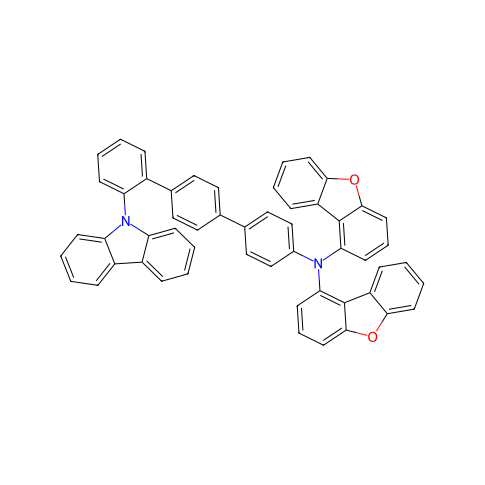 c1ccc(-n2c3ccccc3c3ccccc32)c(-c2ccc(-c3ccc(N(c4cccc5oc6ccccc6c45)c4cccc5oc6ccccc6c45)cc3)cc2)c1